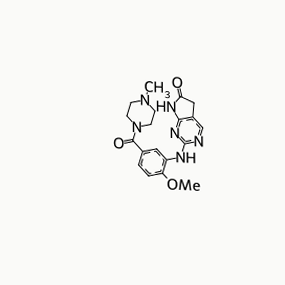 COc1ccc(C(=O)N2CCN(C)CC2)cc1Nc1ncc2c(n1)NC(=O)C2